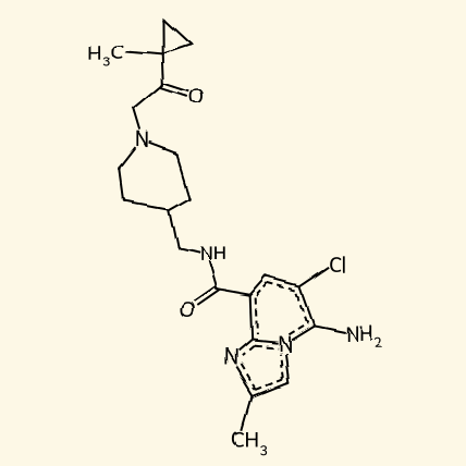 Cc1cn2c(N)c(Cl)cc(C(=O)NCC3CCN(CC(=O)C4(C)CC4)CC3)c2n1